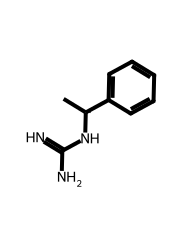 C[C](NC(=N)N)c1ccccc1